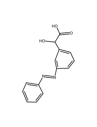 O=C(O)C(O)c1cccc(N=Nc2ccccc2)c1